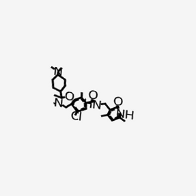 Cc1cc(C)c(CNC(=O)c2cc(Cl)c3c(c2C)OC(C)(C2CCC(N(C)C)CC2)N(C)C3)c(=O)[nH]1